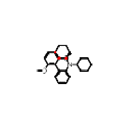 COc1cccc(OC)c1-c1ccccc1N(C1CCCCC1)C1CCCCC1